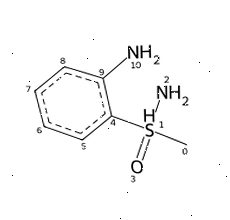 C[SH](N)(=O)c1ccccc1N